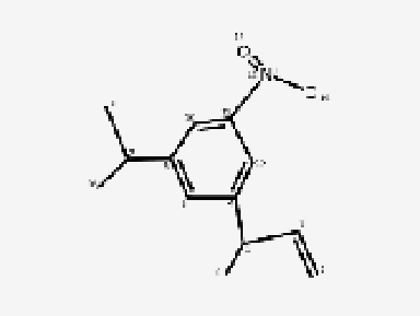 [CH2]C(C=C)c1cc(C(C)C)cc([N+](=O)[O-])c1